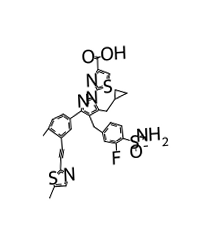 Cc1cnc(C#Cc2cc(-c3nn(-c4nc(C(=O)O)cs4)c(CC4CC4)c3Cc3ccc([S+](N)[O-])c(F)c3)ccc2C)s1